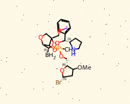 B[C@@H]1OC2(COI)COC1C2O[PH](C)(OC[C@H]1O[C@@H](Br)CC1OC)OC(c1ccccc1)[C@@H]1CCCN1